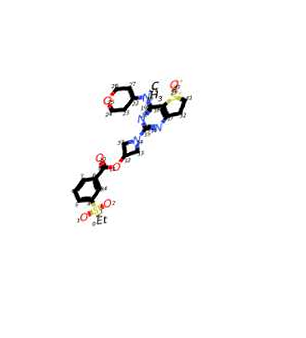 CCS(=O)(=O)c1cccc(C(=O)OC2CN(c3nc4c(c(N(C)C5CCOCC5)n3)[S+]([O-])CC4)C2)c1